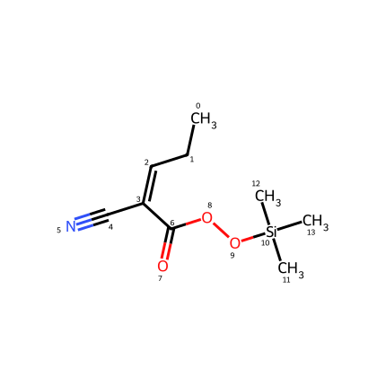 CCC=C(C#N)C(=O)OO[Si](C)(C)C